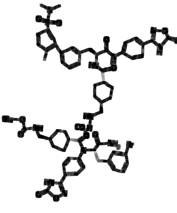 CC(C)(C)OC(=O)NC[C@H]1CC[C@H](C(=O)N(c2ccc(-c3noc(=O)[nH]3)cc2)[C@@H](Cc2cccc(Br)c2)C(N)=O)CC1.Cc1ccc(S(=O)(=O)N(C)C)cc1-c1cccc(C[C@H](NC(=O)[C@H]2CC[C@H](CNC(=O)O)CC2)C(=O)Nc2ccc(-c3noc(=O)[nH]3)cc2)c1